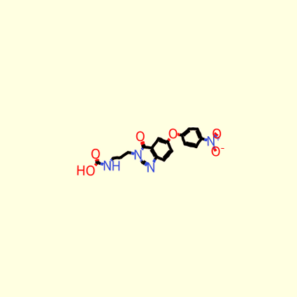 O=C(O)NCCCn1cnc2ccc(Oc3ccc([N+](=O)[O-])cc3)cc2c1=O